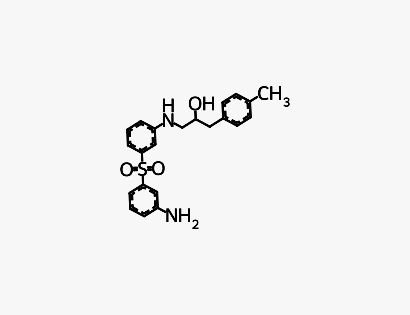 Cc1ccc(CC(O)CNc2cccc(S(=O)(=O)c3cccc(N)c3)c2)cc1